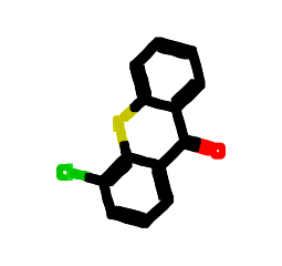 O=c1c2ccccc2sc2c(Cl)cccc12